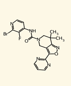 CC1(C)CN(C(=O)Nc2ccnc(Br)c2F)Cc2c1noc2-c1ncccn1